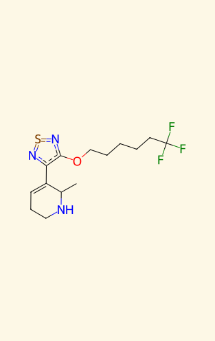 CC1NCCC=C1c1nsnc1OCCCCCC(F)(F)F